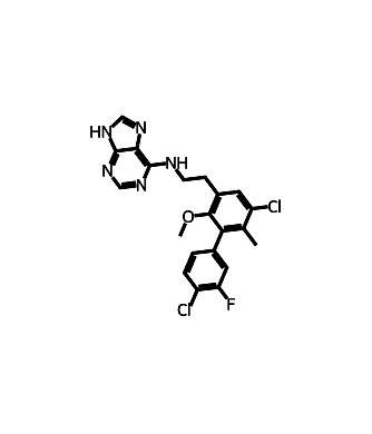 COc1c(CCNc2ncnc3[nH]cnc23)cc(Cl)c(C)c1-c1ccc(Cl)c(F)c1